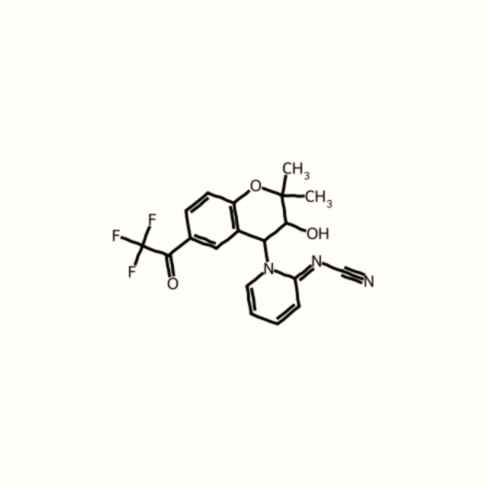 CC1(C)Oc2ccc(C(=O)C(F)(F)F)cc2C(n2ccccc2=NC#N)C1O